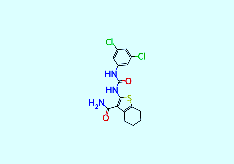 NC(=O)c1c(NC(=O)Nc2cc(Cl)cc(Cl)c2)sc2c1CCCC2